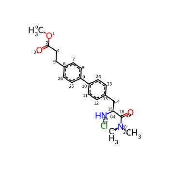 COC(=O)CCc1ccc(-c2ccc(C[C@H](NCl)C(=O)N(C)C)cc2)cc1